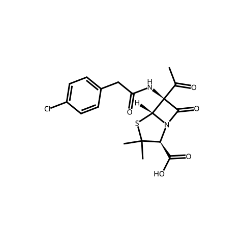 CC(=O)[C@]1(NC(=O)Cc2ccc(Cl)cc2)C(=O)N2[C@@H](C(=O)O)C(C)(C)S[C@@H]21